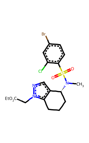 CCOC(=O)Cn1ncc2c1CCC[C@H]2N(C)S(=O)(=O)c1ccc(Br)cc1Cl